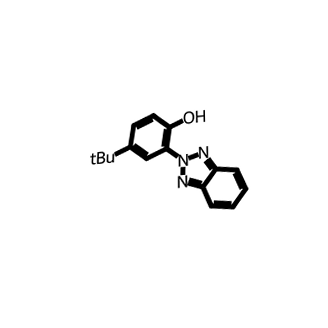 CC(C)(C)c1ccc(O)c(-n2nc3ccccc3n2)c1